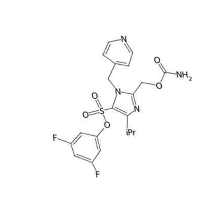 CC(C)c1nc(COC(N)=O)n(Cc2ccncc2)c1S(=O)(=O)Oc1cc(F)cc(F)c1